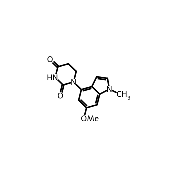 COc1cc(N2CCC(=O)NC2=O)c2ccn(C)c2c1